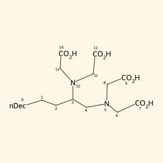 CCCCCCCCCCCCC(CN(CC(=O)O)CC(=O)O)N(CC(=O)O)CC(=O)O